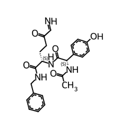 CC(=O)N[C@H](C(=O)N[C@@H](CCC(=O)C=N)C(=O)NCc1ccccc1)c1ccc(O)cc1